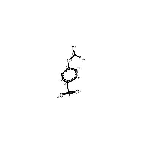 [O]C(=O)c1ccc(OC(F)F)cc1